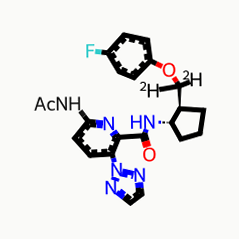 [2H]C([2H])(Oc1ccc(F)cc1)[C@H]1CCC[C@@H]1NC(=O)c1nc(NC(C)=O)ccc1-n1nccn1